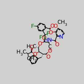 COc1ccnc(C(=O)N[C@H]2COC(=O)[C@H](Cc3ccccc3)[C@@H](OC(=O)C(C)C)[C@H](C)OC2=O)c1OC(=O)c1ccc(F)cc1C(F)(F)F